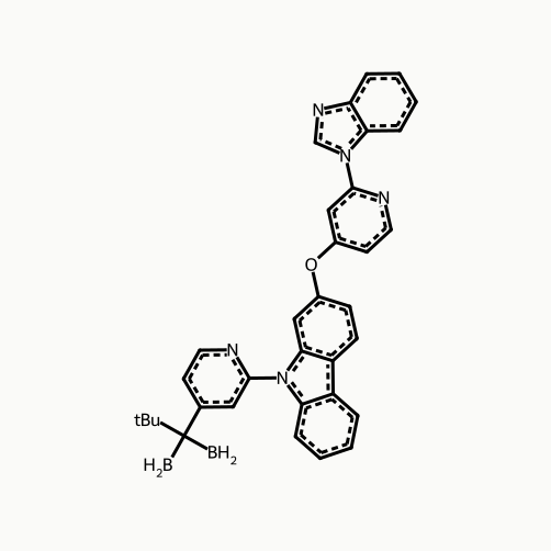 BC(B)(c1ccnc(-n2c3ccccc3c3ccc(Oc4ccnc(-n5cnc6ccccc65)c4)cc32)c1)C(C)(C)C